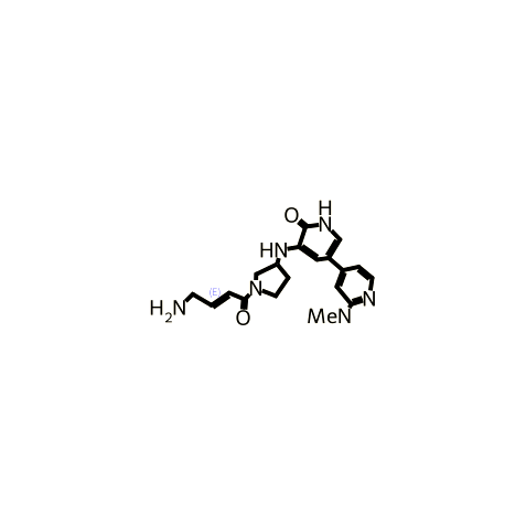 CNc1cc(-c2c[nH]c(=O)c(NC3CCN(C(=O)/C=C/CN)C3)c2)ccn1